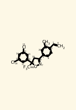 C=Cc1ccc(C2=NOC(c3cc(Cl)cc(Cl)c3)(C(F)(F)F)C2)cc1C